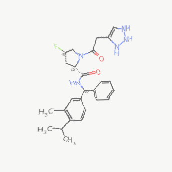 Cc1cc([C@@H](NC(=O)[C@@H]2C[C@@H](F)CN2C(=O)CC2=CNNN2)c2ccccc2)ccc1C(C)C